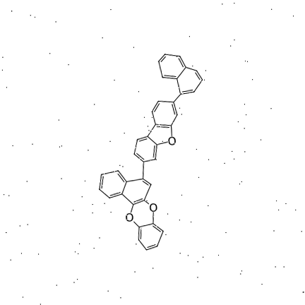 c1ccc2c(c1)Oc1cc(-c3ccc4c(c3)oc3cc(-c5cccc6ccccc56)ccc34)c3ccccc3c1O2